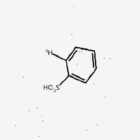 [3H]c1ccccc1S(=O)(=O)O